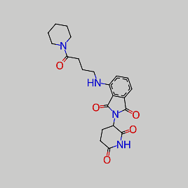 O=C1CCC(N2C(=O)c3cccc(NCCCC(=O)N4CCCCC4)c3C2=O)C(=O)N1